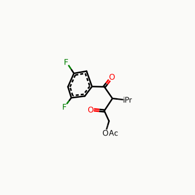 CC(=O)OCC(=O)C(C(=O)c1cc(F)cc(F)c1)C(C)C